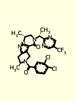 C[C@@H]1Cc2nn3c(c2CN1C(=O)c1ccc(Cl)c(Cl)c1)C(=O)N([C@H](C)c1ncc(C(F)(F)F)cn1)C[C@H]3C